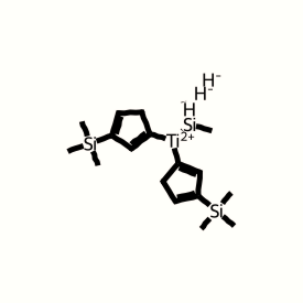 C[SiH](C)[Ti+2]([C]1=CC([Si](C)(C)C)=CC1)[C]1=CC([Si](C)(C)C)=CC1.[H-].[H-]